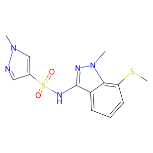 CSc1cccc2c(NS(=O)(=O)c3cnn(C)c3)nn(C)c12